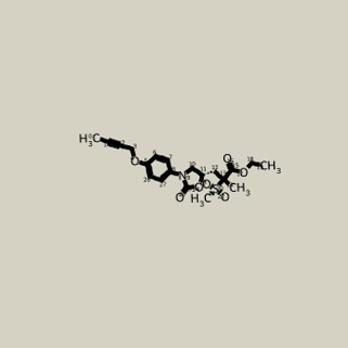 CC#CCOc1ccc(N2C[C@H](CC(C)(C(=O)OCC)S(C)(=O)=O)OC2=O)cc1